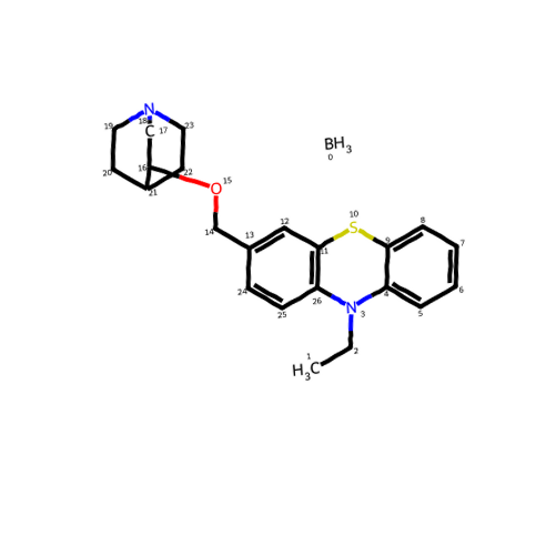 B.CCN1c2ccccc2Sc2cc(COC3CN4CCC3CC4)ccc21